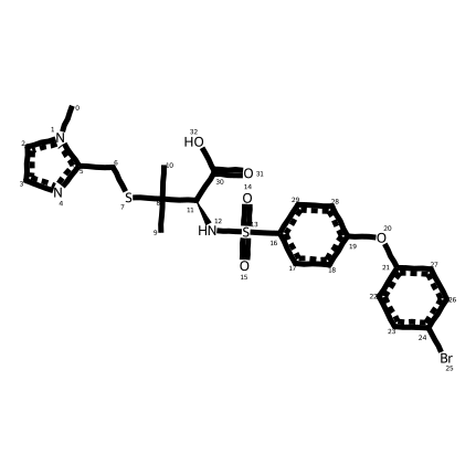 Cn1ccnc1CSC(C)(C)[C@H](NS(=O)(=O)c1ccc(Oc2ccc(Br)cc2)cc1)C(=O)O